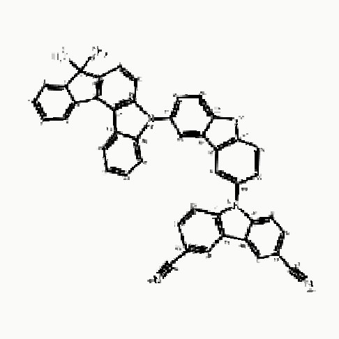 CC1(C)c2ccccc2-c2c1ccc1c2c2ccccc2n1-c1ccc2sc3ccc(-n4c5ccc(C#N)cc5c5cc(C#N)ccc54)cc3c2c1